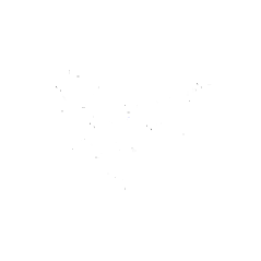 CC1=N/C(=C(/Sc2ccncc2)c2[nH]c(C)c(C=O)c2C)C(C)=C1C#N